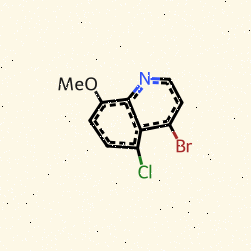 COc1ccc(Cl)c2c(Br)ccnc12